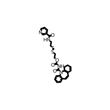 O=C(NC(=O)N1C2=C(C=CCC2)C=Cc2ccccc21)OCCSSCCNC(=O)c1cccnc1